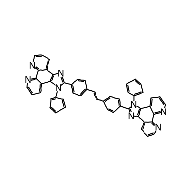 C(=Cc1ccc(-c2nc3c4cccnc4c4ncccc4c3n2-c2ccccc2)cc1)c1ccc(-c2nc3c4cccnc4c4ncccc4c3n2-c2ccccc2)cc1